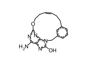 Nc1nc2nc3c1nc(O)n3Cc1cccc(c1)CC/C=C\CCO2